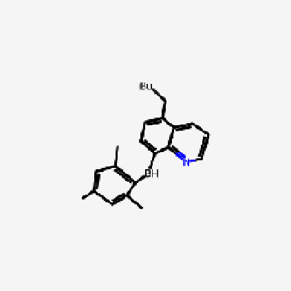 CCC(C)Cc1ccc(Bc2c(C)cc(C)cc2C)c2ncccc12